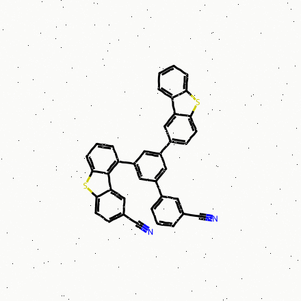 N#Cc1cccc(-c2cc(-c3ccc4sc5ccccc5c4c3)cc(-c3cccc4sc5ccc(C#N)cc5c34)c2)c1